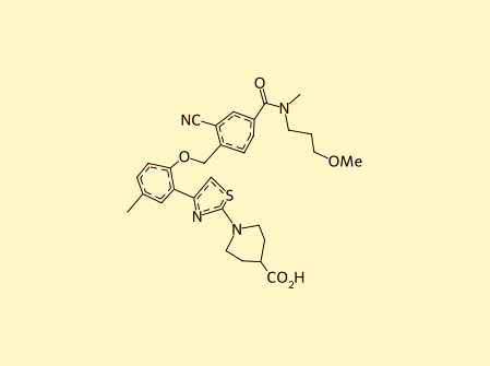 COCCCN(C)C(=O)c1ccc(COc2ccc(C)cc2-c2csc(N3CCC(C(=O)O)CC3)n2)c(C#N)c1